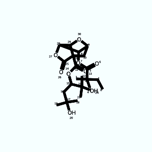 CCC(C)(I)C(=O)OC1C2CC3(C(=O)OC(CC(C)(C)O)C(C)(C)O)C(=O)OC1C3O2